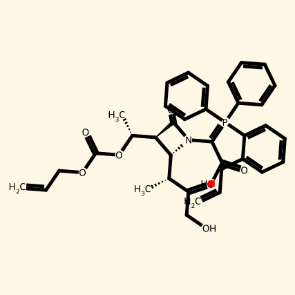 C=CCOC(=O)O[C@H](C)[C@H]1C(=O)N(C(C(=O)O)=P(c2ccccc2)(c2ccccc2)c2ccccc2CC=C)[C@@H]1[C@@H](C)C(=O)CO